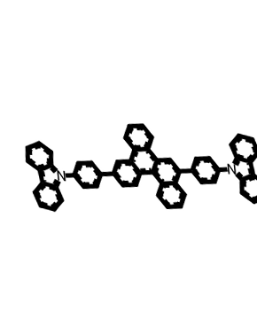 c1ccc2c(c1)c(-c1ccc(-n3c4ccccc4c4ccccc43)cc1)cc1c3ccccc3c3cc(-c4ccc(-n5c6ccccc6c6ccccc65)cc4)ccc3c21